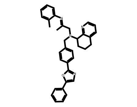 C/C(CN(Cc1ccc(-c2ncc(-c3ccccc3)o2)cc1)C1CCCc2cccnc21)=N\c1ccccc1C